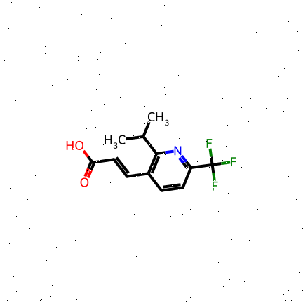 CC(C)c1nc(C(F)(F)F)ccc1/C=C/C(=O)O